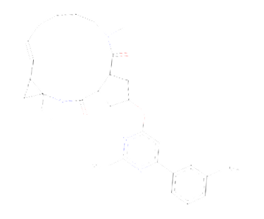 COc1cccc(-c2cc(OC3CC4C(=O)NC5(C(=O)O)CC5/C=C/CCCCN(C)C(=O)C4C3)nc(OC)n2)c1